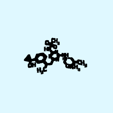 CC(C)C[C@H](CO)Nc1nc(CC(C)c2cccc(C3(O)CC3)c2)nc(NS(C)(=O)=O)n1